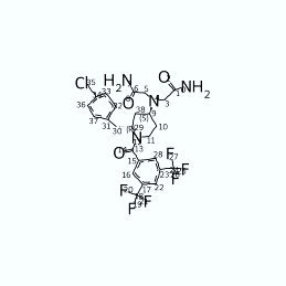 NC(=O)CN(CC(N)=O)[C@H]1CCN(C(=O)c2cc(C(F)(F)F)cc(C(F)(F)F)c2)[C@H](Cc2ccc(Cl)cc2)C1